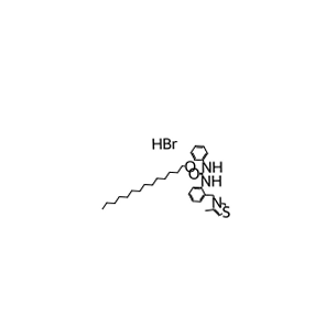 Br.CCCCCCCCCCCCCCOc1ccccc1NC(=O)Nc1ccccc1CN1CSC=C1C